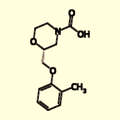 Cc1ccccc1OC[C@H]1CN(C(=O)O)CCO1